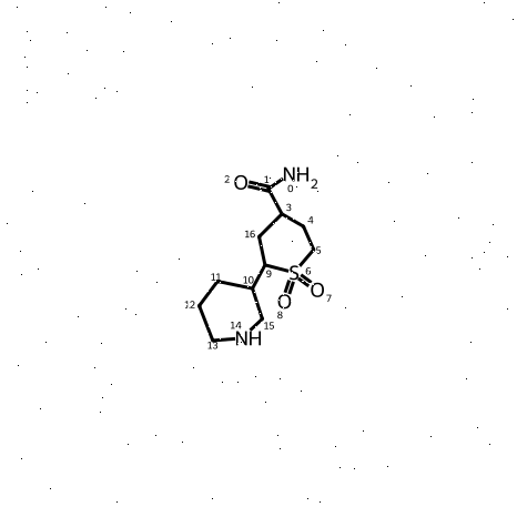 NC(=O)C1CCS(=O)(=O)C(C2CCCNC2)C1